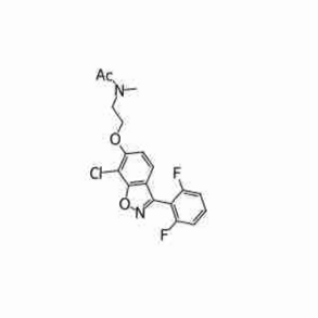 CC(=O)N(C)CCOc1ccc2c(-c3c(F)cccc3F)noc2c1Cl